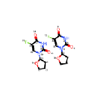 O=c1[nH]c(=O)n(C2CCCO2)cc1F.O=c1[nH]c(=O)n(C2CCCO2)cc1F